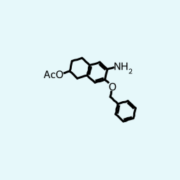 CC(=O)OC1CCc2cc(N)c(OCc3ccccc3)cc2C1